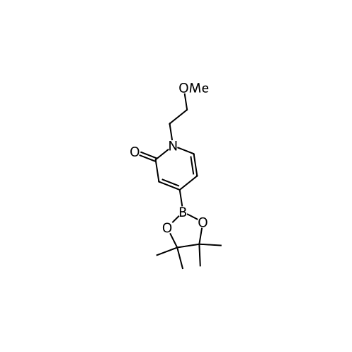 COCCn1ccc(B2OC(C)(C)C(C)(C)O2)cc1=O